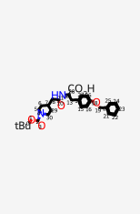 CC(C)(C)OC(=O)N1CCC(CC(=O)N[C@@H](Cc2ccc(OCc3ccccc3)cc2)C(=O)O)CC1